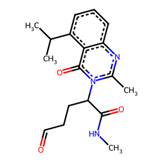 CNC(=O)C(CCC=O)n1c(C)nc2cccc(C(C)C)c2c1=O